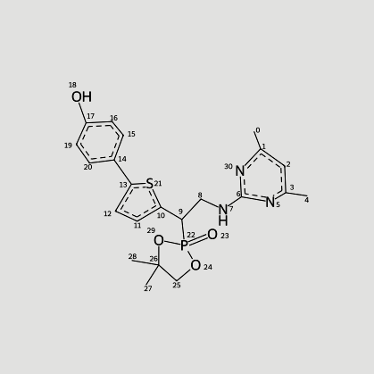 Cc1cc(C)nc(NCC(c2ccc(-c3ccc(O)cc3)s2)P2(=O)OCC(C)(C)O2)n1